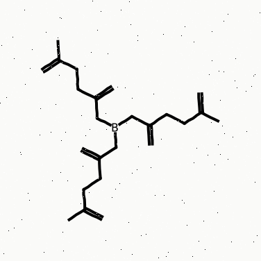 C=C(C)CCC(=C)CB(CC(=C)CCC(=C)C)CC(=C)CCC(=C)C